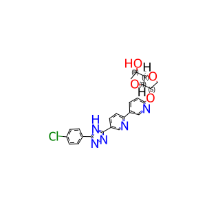 O[C@@H]1CO[C@H]2[C@@H]1OC[C@@H]2Oc1ccc(-c2ccc(-c3nnc(-c4ccc(Cl)cc4)[nH]3)cn2)cn1